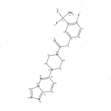 O=C(Cc1ccc(F)c(C(F)(F)P)c1)N1CCN(c2ccc3nncn3n2)CC1